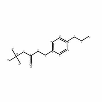 CCCc1ccc(CCC(=O)CC(C)(C)C)cc1